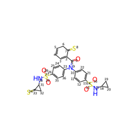 O=C(C1=CC=CCC1=S)N(c1ccc(S(=O)(=O)NC2CC2)cc1)c1ccc(S(=O)(=O)NC2CC2=S)cc1